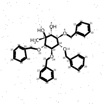 C[C@@]1(O)[C@H](O)[C@@H](OCc2ccccc2)[C@H](OCc2ccccc2)[C@@H](OCc2ccccc2)[C@@H]1OCc1ccccc1